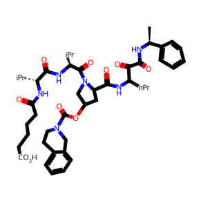 CCCC(NC(=O)C1CC(OC(=O)N2CCc3ccccc3C2)CN1C(=O)[C@@H](NC(=O)[C@H](NC(=O)CCCCC(=O)O)C(C)C)C(C)C)C(=O)C(=O)N[C@@H](C)c1ccccc1